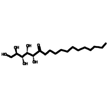 CCCCCCCCCCCCC(=O)[C@H](O)[C@@H](O)[C@H](O)[C@H](O)CO